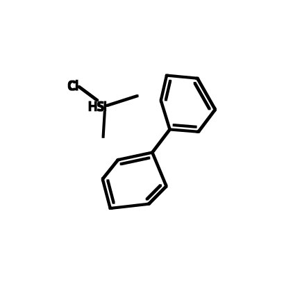 C[SiH](C)Cl.c1ccc(-c2ccccc2)cc1